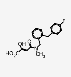 CN(Cc1ccccc1Cc1ccc(F)cc1)C(=O)C=C(O)C(=O)O